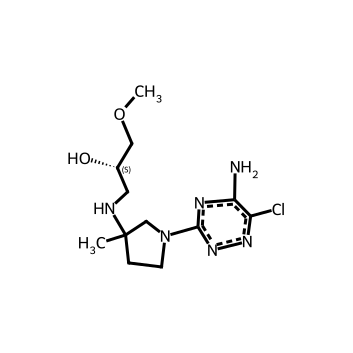 COC[C@@H](O)CNC1(C)CCN(c2nnc(Cl)c(N)n2)C1